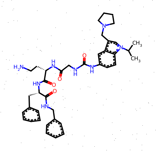 CC(C)n1cc(CN2CCCC2)c2cc(NC(=O)NCC(=O)N[C@@H](CCN)C(=O)N[C@@H](Cc3ccccc3)C(=O)NCc3ccccc3)ccc21